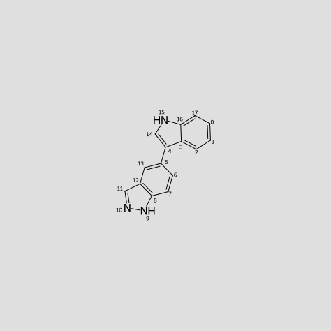 c1ccc2c(-c3ccc4[nH]ncc4c3)c[nH]c2c1